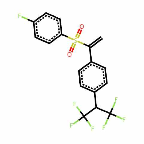 C=C(c1ccc(C(C(F)(F)F)C(F)(F)F)cc1)S(=O)(=O)c1ccc(F)cc1